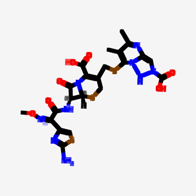 CO/N=C(\C(=O)N[C@@H]1C(=O)N2C(C(=O)O)=C(CSC3=C(C)C(C)=NC4=CN(C(=O)O)NN43)CS[C@H]12)c1csc(N)n1